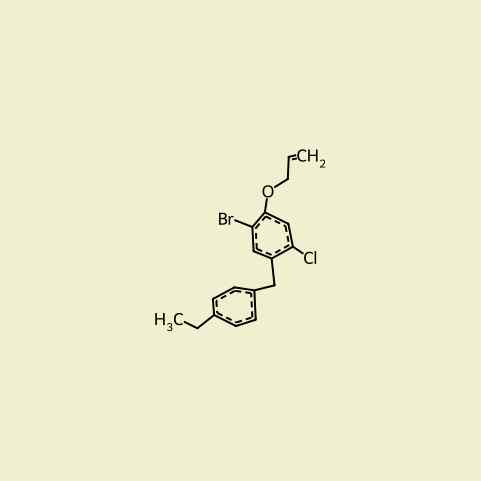 C=CCOc1cc(Cl)c(Cc2ccc(CC)cc2)cc1Br